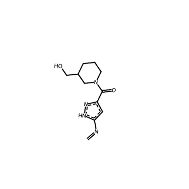 C=Nc1cc(C(=O)N2CCCC(CO)C2)n[nH]1